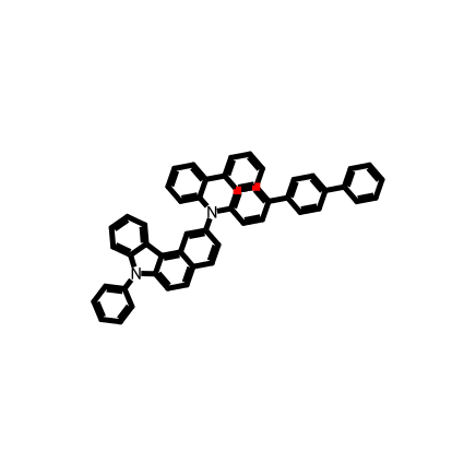 c1ccc(-c2ccc(-c3ccc(N(c4ccc5ccc6c(c5c4)c4ccccc4n6-c4ccccc4)c4ccccc4-c4ccccc4)cc3)cc2)cc1